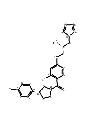 O=C(c1ccc(OC[C@H](O)Cn2cnnn2)cc1F)N1CC[C@H](c2ccc(Cl)cc2)C1